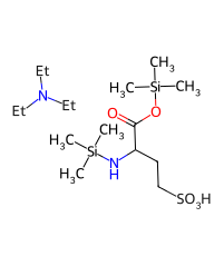 CCN(CC)CC.C[Si](C)(C)NC(CCS(=O)(=O)O)C(=O)O[Si](C)(C)C